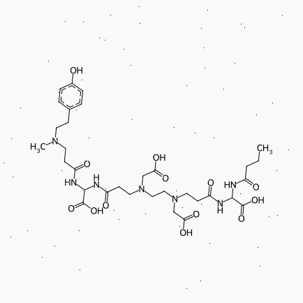 CCCC(=O)NC(NC(=O)CCN(CCN(CCC(=O)NC(NC(=O)CCN(C)CCc1ccc(O)cc1)C(=O)O)CC(=O)O)CC(=O)O)C(=O)O